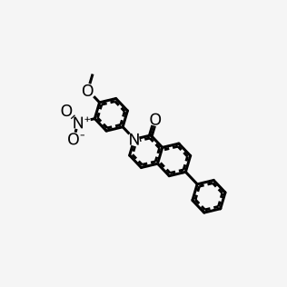 COc1ccc(-n2ccc3cc(-c4ccccc4)ccc3c2=O)cc1[N+](=O)[O-]